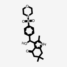 Cc1[nH]c2c(c1C(O)c1ccc(S(=O)(=O)N3CCOCC3)cc1)C(=O)CC(C)(C)C2